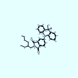 CCCCC(CC)CN1C(=O)c2ccc(N3c4ccccc4C(C)(C)c4ccccc43)cc2C1=O